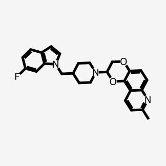 Cc1ccc2c3c(ccc2n1)OCC(N1CCC(Cn2ccc4ccc(F)cc42)CC1)O3